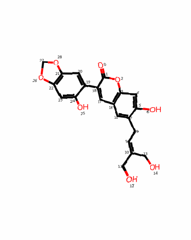 O=c1oc2cc(O)c(CC=C(CO)CO)cc2cc1-c1cc2c(cc1O)OCO2